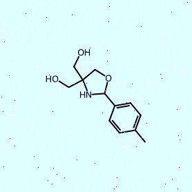 Cc1ccc(C2NC(CO)(CO)CO2)cc1